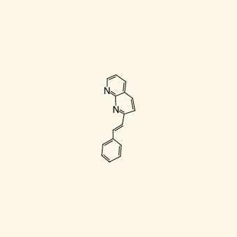 C(=Cc1ccc2cccnc2n1)c1ccccc1